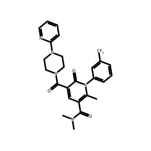 Cc1c(C(=O)N(C)C)cc(C(=O)N2CCN(c3ccccn3)CC2)c(=O)n1-c1cccc(C(F)(F)F)c1